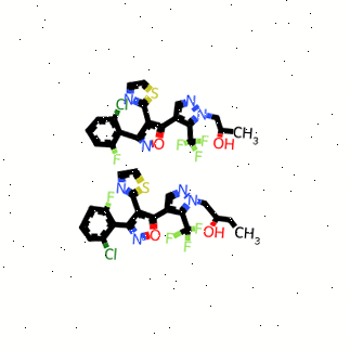 CC(O)Cn1ncc(-c2onc(-c3c(F)cccc3Cl)c2-c2nccs2)c1C(F)(F)F.CCC(O)Cn1ncc(-c2onc(-c3c(F)cccc3Cl)c2-c2nccs2)c1C(F)(F)F